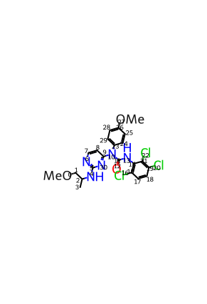 COCC(C)Nc1nccc(N(C(=O)Nc2c(Cl)ccc(Cl)c2Cl)c2ccc(OC)cc2)n1